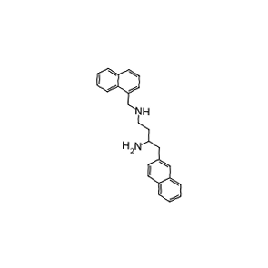 NC(CCNCc1cccc2ccccc12)Cc1ccc2ccccc2c1